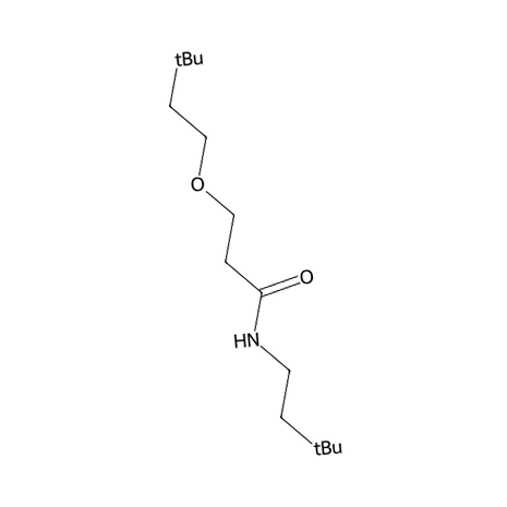 CC(C)(C)CCNC(=O)CCOCCC(C)(C)C